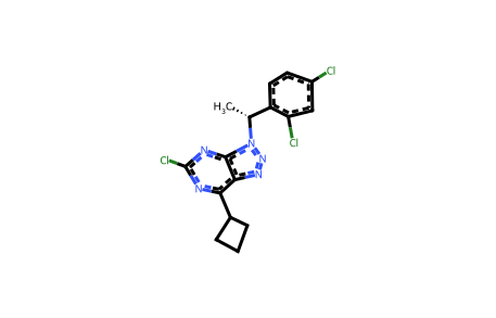 C[C@H](c1ccc(Cl)cc1Cl)n1nnc2c(C3CCC3)nc(Cl)nc21